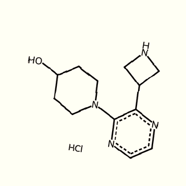 Cl.OC1CCN(c2nccnc2C2CNC2)CC1